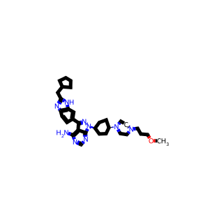 COCCCN1CCN([C@H]2CC[C@H](n3nc(-c4ccc5nc(CC6CCCC6)[nH]c5c4)c4c(N)ncnc43)CC2)CC1